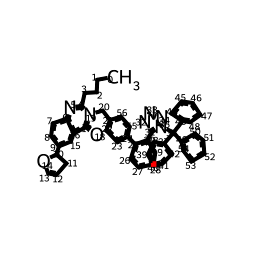 CCCCc1nc2ccc(C3CC=CO3)cc2c(=O)n1Cc1ccc(-c2ccccc2-c2nnnn2C(c2ccccc2)(c2ccccc2)c2ccccc2)cc1